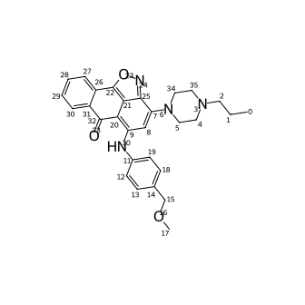 CCCN1CCN(c2cc(Nc3ccc(COC)cc3)c3c4c(onc24)-c2ccccc2C3=O)CC1